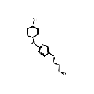 CCOCCOc1cnc(NC2CCC(O)CC2)nc1